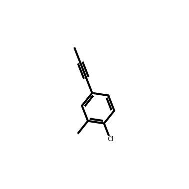 CC#Cc1ccc(Cl)c(C)c1